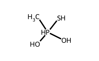 C[PH](O)(O)S